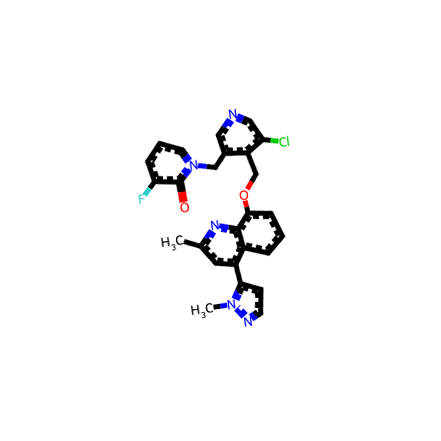 Cc1cc(-c2ccnn2C)c2cccc(OCc3c(Cl)cncc3Cn3cccc(F)c3=O)c2n1